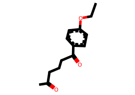 CCOc1ccc(C(=O)CCCC(C)=O)cc1